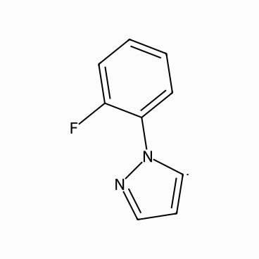 Fc1ccccc1-n1[c]ccn1